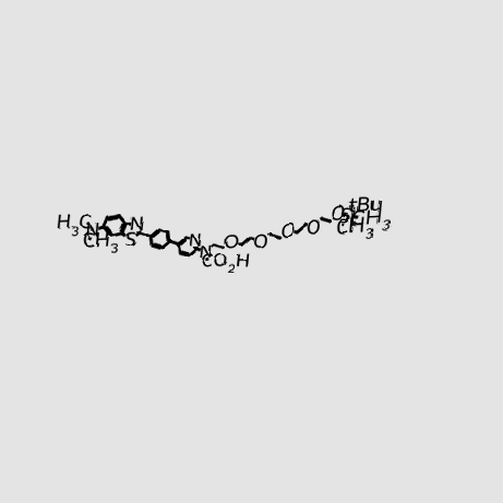 CN(C)c1ccc2nc(-c3ccc(-c4ccc(N(CCOCCOCCOCCOCCO[Si](C)(C)C(C)(C)C)C(=O)O)nc4)cc3)sc2c1